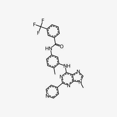 Cc1ccc(NC(=O)c2cccc(C(F)(F)F)c2)cc1Nc1nc(-c2ccncc2)nc2c1ncn2C